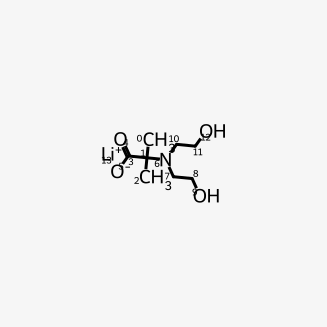 CC(C)(C(=O)[O-])N(CCO)CCO.[Li+]